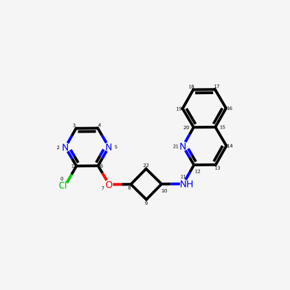 Clc1nccnc1OC1CC(Nc2ccc3ccccc3n2)C1